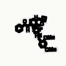 COc1ccc(CNC2=CSC([C@]34COC5(CCC5)C[C@H]3CSC(NC(=O)c3ccccc3)=N4)N2C)c(OC)c1